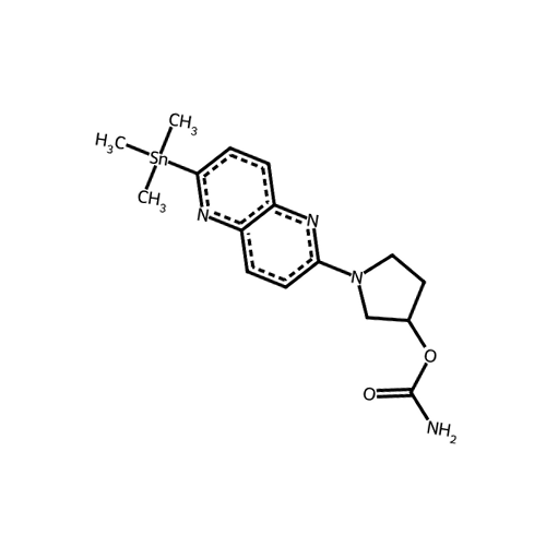 [CH3][Sn]([CH3])([CH3])[c]1ccc2nc(N3CCC(OC(N)=O)C3)ccc2n1